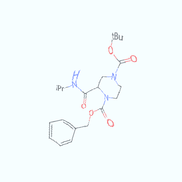 CC(C)NC(=O)C1CN(C(=O)OC(C)(C)C)CCN1C(=O)OCc1ccccc1